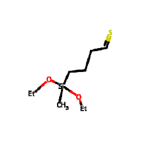 CCO[Si](C)(CCCC=S)OCC